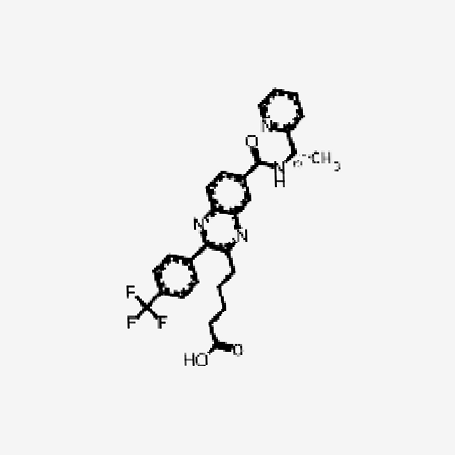 C[C@H](NC(=O)c1ccc2nc(-c3ccc(C(F)(F)F)cc3)c(CCCCC(=O)O)nc2c1)c1ccccn1